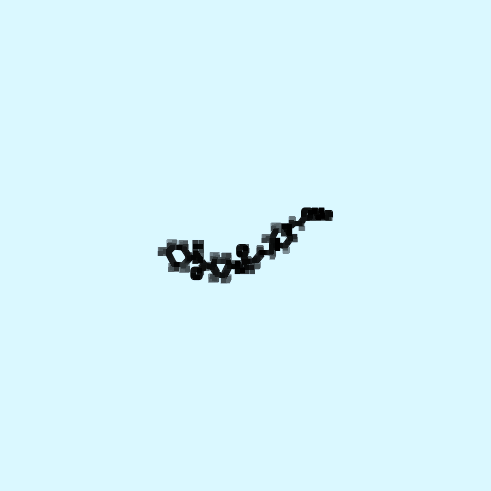 COCCN1CCN(C/C=C/C(=O)Nc2ccc(C(=O)NC3CCCCC3)cc2)CC1